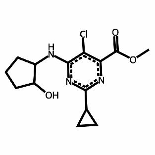 COC(=O)c1nc(C2CC2)nc(NC2CCCC2O)c1Cl